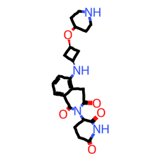 O=C1CCC(N2C(=O)Cc3c(N[C@H]4C[C@H](OC5CCNCC5)C4)cccc3C2=O)C(=O)N1